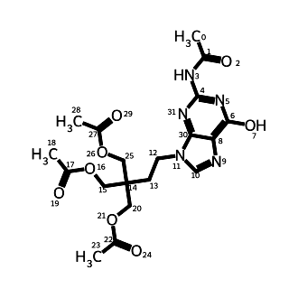 CC(=O)Nc1nc(O)c2ncn(CCC(COC(C)=O)(COC(C)=O)COC(C)=O)c2n1